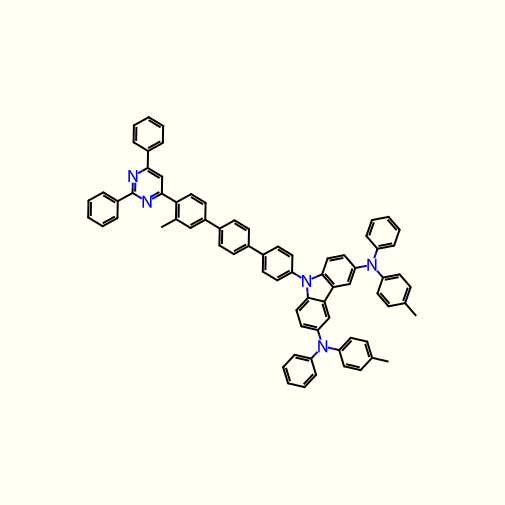 Cc1ccc(N(c2ccccc2)c2ccc3c(c2)c2cc(N(c4ccccc4)c4ccc(C)cc4)ccc2n3-c2ccc(-c3ccc(-c4ccc(-c5cc(-c6ccccc6)nc(-c6ccccc6)n5)c(C)c4)cc3)cc2)cc1